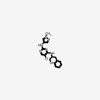 Cn1cc(Nc2ncc(Cl)c(NC(CO)Cc3ccccc3)n2)cn1